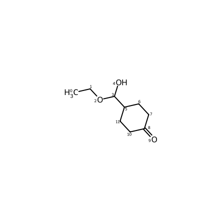 CCOC(O)C1CCC(=O)CC1